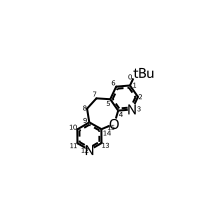 CC(C)(C)c1cnc2c(c1)CCc1ccncc1O2